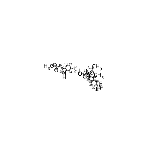 CCCN(C[C@@H](C)OCCCc1ccc2c(CC(=O)OC)c[nH]c2c1)S(=O)(=O)c1sc2ccc(C(F)(F)F)cc2c1C